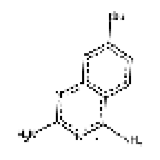 CC(C)(C)c1ccc2c(N)nc(N)nc2c1